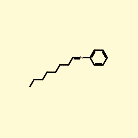 CCCCCCC[CH]=[In][c]1ccccc1